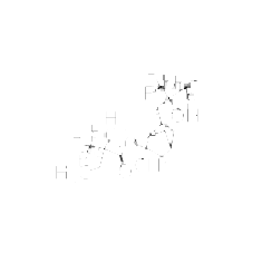 CCC(C)(C(=O)OC1(C)CC2CC(CC(O)(C(F)(F)F)C(F)(F)F)C1C2)C(F)(F)F